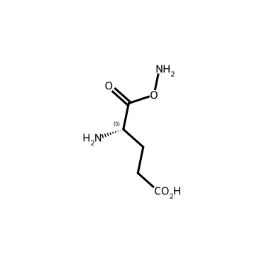 NOC(=O)[C@@H](N)CCC(=O)O